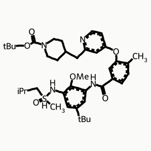 COc1c(NC(=O)c2ccc(C)c(Oc3ccnc(CC4CCN(C(=O)OC(C)(C)C)CC4)c3)c2)cc(C(C)(C)C)cc1N[SH](C)(=O)CC(C)C